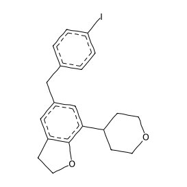 Ic1ccc(Cc2cc3c(c(C4CCOCC4)c2)OCC3)cc1